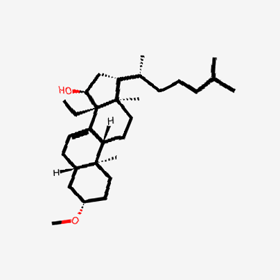 CC[C@]12C3=CC[C@H]4C[C@@H](OC)CC[C@]4(C)[C@H]3CC[C@]1(C)[C@@H]([C@H](C)CCCC(C)C)C[C@@H]2O